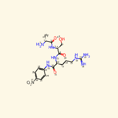 CC(C)[C@@H](N)C(=O)N[C@@H](CO)C(=O)N[C@@H](CCCNC(=N)N)C(=O)Nc1ccc([N+](=O)[O-])cc1